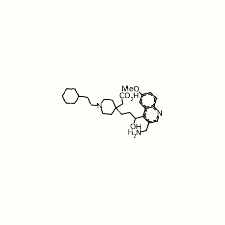 COc1ccc2ncc(CN)c(C(O)CCC3(CC(=O)O)CCN(CCC4CCCCC4)CC3)c2c1